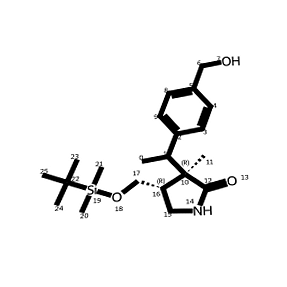 CC(c1ccc(CO)cc1)[C@@]1(C)C(=O)NC[C@@H]1CO[Si](C)(C)C(C)(C)C